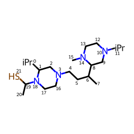 CC(C)C1CN(CCC(C)C2CN(C(C)C)CCN2C)CCN1C(C)S